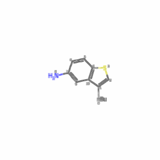 CCCCc1csc2ccc(N)cc12